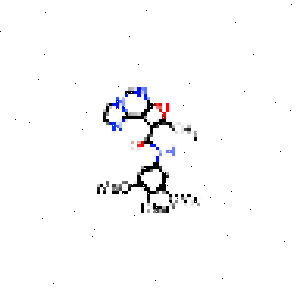 COc1cc(NC(=O)c2c(C)oc3c2C2=NCCN2C=N3)cc(OC)c1OC